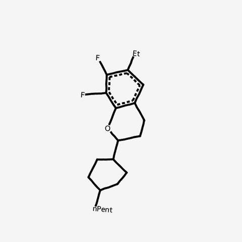 CCCCCC1CCC(C2CCc3cc(CC)c(F)c(F)c3O2)CC1